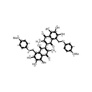 COc1ccc(SCc2c(O)c(O)c(C(C)C)c3c2C(=O)C(C2=C(C)C(=O)c4c(c(CSc5ccc(OC)cc5)c(O)c(O)c4C(C)C)C2=O)=C(C)C3=O)cc1